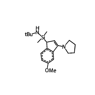 COc1ccc2c(c1)C(N1CCCC1)=CC2[Si](C)(C)NC(C)(C)C